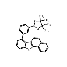 CC1(C)OB(c2cccc(-c3cccc4oc5c6ccccc6ccc5c34)c2)OC1(C)C